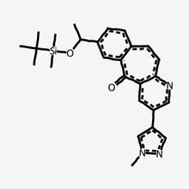 CC(O[Si](C)(C)C(C)(C)C)c1ccc2ccc3ncc(-c4cnn(C)c4)cc3c(=O)c2c1